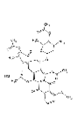 COc1cccc2c1C(=O)c1c(OC(C)=O)c3c(c(OC(C)=O)c1C2=O)C[C@@](OC(C)=O)(C(=O)COC(C)=O)C[C@@H]3OC1CC(N)C(OC(C)=O)C(C)O1.Cl